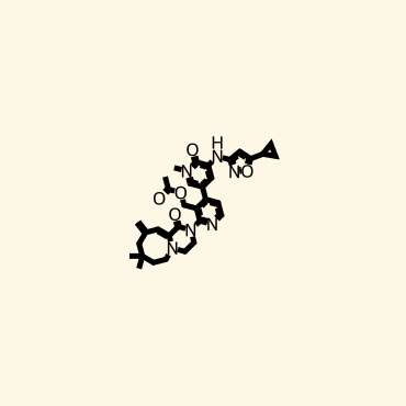 C=C1/C=C2/C(=O)N(c3nccc(-c4cc(Nc5cc(C6CC6)on5)c(=O)n(C)c4)c3COC(C)=O)CCN2CCC(C)(C)C1